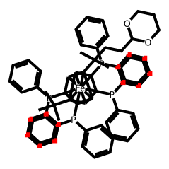 CC(C)(C)[C]12[CH]3[C]4(P(c5ccccc5)c5ccccc5)[C]5(P(c6ccccc6)c6ccccc6)[CH]1[Fe]32451678[CH]2[C]1(C(C)(C)CCC1OCCCO1)[CH]6[C]7(P(c1ccccc1)c1ccccc1)[C]28P(c1ccccc1)c1ccccc1